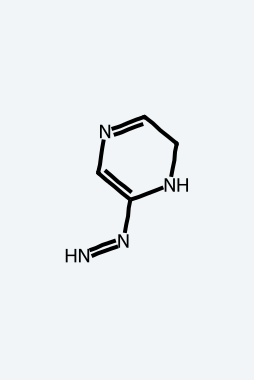 N=NC1=CN=CCN1